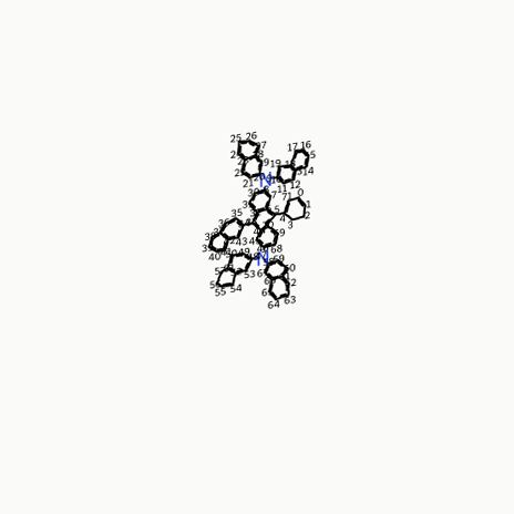 C1=CCCC(c2c3cc(N(c4ccc5ccccc5c4)c4ccc5ccccc5c4)ccc3c(-c3ccc4ccccc4c3)c3cc(N(c4ccc5c(c4)C=CCC5)c4ccc5ccccc5c4)ccc23)=C1